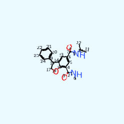 CNC(=O)c1cc(C(=O)NC(C)C)cc2c1OCC2c1ccccc1